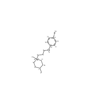 CC1CC[N+](C)(CCCOc2ccc(F)cc2)CC1